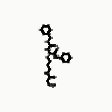 O=C(O)CC(=S)NCCCC[C@H](NC(=O)OCc1ccccc1)C(=O)Nc1ccccc1